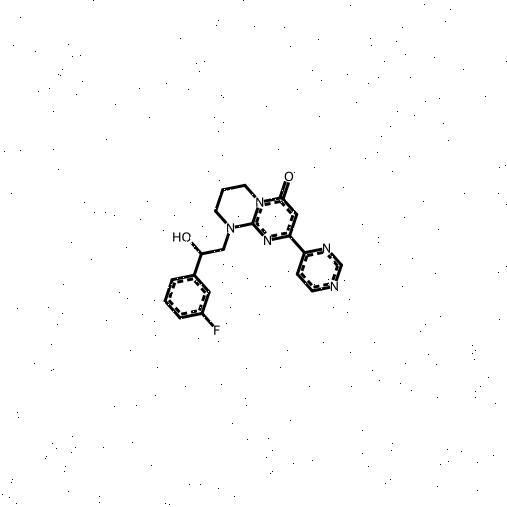 O=c1cc(-c2ccncn2)nc2n1CCCN2CC(O)c1cccc(F)c1